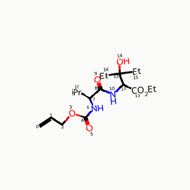 C=CCOC(=O)NC(C(=O)NC(C(=O)OCC)C(O)(CC)CC)C(C)C